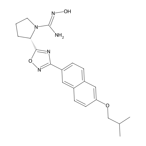 CC(C)COc1ccc2cc(-c3noc([C@@H]4CCCN4/C(N)=N/O)n3)ccc2c1